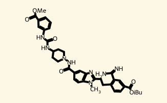 COC(=O)c1cccc(NC(=O)NC2CCN(NC(=O)c3ccc4c(c3)nc(CCc3ccc(C(=O)OCC(C)C)cc3C(=N)N)n4C)CC2)c1